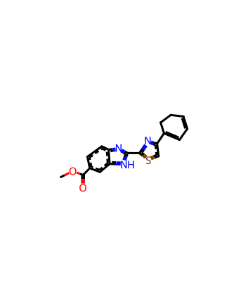 COC(=O)c1ccc2nc(-c3nc(C4=CC=CCC4)cs3)[nH]c2c1